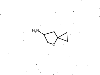 NC1COC2(CC2)C1